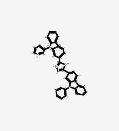 c1cncc(-n2c3ccccc3c3ccc(-c4nnc(-c5ccc6c7ccccc7n(-c7cccnc7)c6c5)o4)cc32)c1